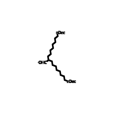 CCCCCCCCCCCCCCCCCCC([C]=O)CCCCCCCCCCCCCCCCCC